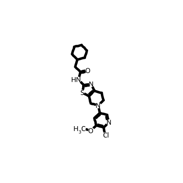 COc1cc(N2CCc3nc(NC(=O)CC4CCCCC4)sc3C2)cnc1Cl